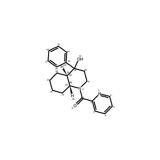 O=C(c1ccccn1)N1CCC(O)(c2ccccc2)[C@H]2CCCC[C@H]21